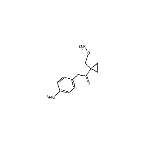 COc1ccc(CC(=O)C2(CO[N+](=O)[O-])CC2)cc1